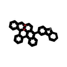 C1=Cc2c(oc3ccc(-c4c5ccccc5c(-c5ccccc5-c5cccc6ccccc56)c5ccccc45)cc23)CC1